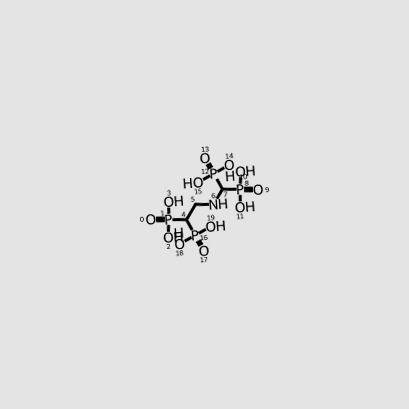 O=P(O)(O)C(CNC(P(=O)(O)O)P(=O)(O)O)P(=O)(O)O